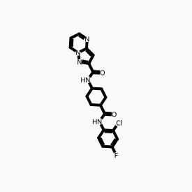 O=C(NC1CCC(C(=O)Nc2ccc(F)cc2Cl)CC1)c1cc2ncccn2n1